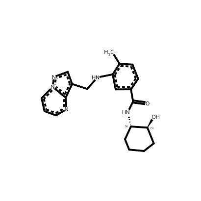 Cc1ccc(C(=O)N[C@H]2CCCC[C@@H]2O)cc1NCc1cnn2cccnc12